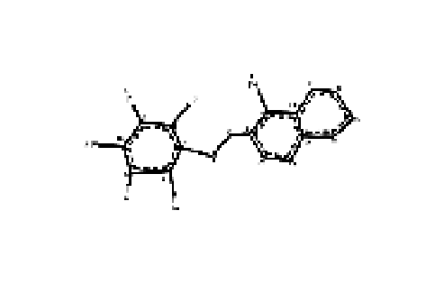 CCc1c(C[CH]c2c(F)c(F)c(F)c(F)c2F)ccc2ccccc12